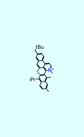 Cc1ccc2c(C(C)C)c3c(c(C)c2c1)-c1c2c(cc4cc(CC(C)(C)C)ccc4c2cc[n+]1C)S3